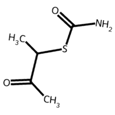 CC(=O)C(C)SC(N)=O